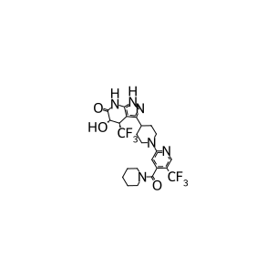 O=C1Nc2[nH]nc(C3CCN(c4cc(C(=O)N5CCCCC5)c(C(F)(F)F)cn4)CC3)c2[C@@H](C(F)(F)F)[C@H]1O